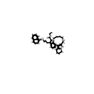 CCOC(=O)c1c(CCCOc2cccc3ccccc23)c2cccc3c2n1CCCCOCc1nn2c(c1-3)CCCC2